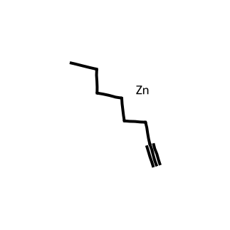 C#CCCCCCC.[Zn]